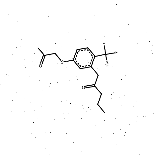 CCCC(=O)Cc1cc(SCC(C)=O)ccc1C(F)(F)F